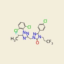 CC(F)c1nc(Cn2nc(-c3ccc(Cl)cc3)n(CCC(F)(F)F)c2=O)nn1-c1c(Cl)cccc1Cl